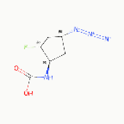 [N-]=[N+]=N[C@H]1C[C@@H](F)[C@H](NC(=O)O)C1